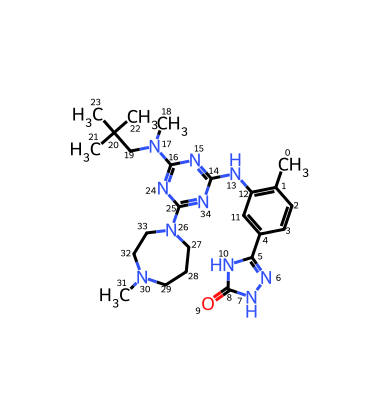 Cc1ccc(-c2n[nH]c(=O)[nH]2)cc1Nc1nc(N(C)CC(C)(C)C)nc(N2CCCN(C)CC2)n1